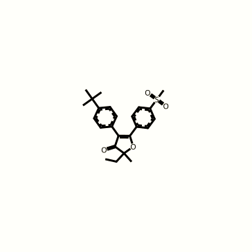 CCC1(C)OC(c2ccc(S(C)(=O)=O)cc2)=C(c2ccc(C(C)(C)C)cc2)C1=O